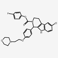 Fc1ccc(OC(=S)N2CCc3c([nH]c4ccc(Cl)cc34)C2c2ccc(OCCN3CCOCC3)cc2)cc1